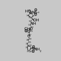 CS(=O)(=O)Nc1cc([C@@H](O)CNCCCCCCOCCCCc2cccc(S(N)(=O)=O)c2)ccc1O.O=CO